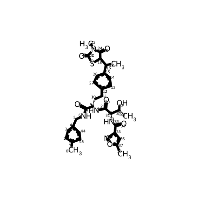 Cc1ccc(CNC(=O)[C@H](CCc2ccc(C(C)C3SC(=O)N(C)C3=O)cc2)NC(=O)[C@@H](NC(=O)c2cc(C)on2)[C@@H](C)O)cc1